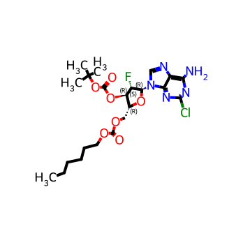 CCCCCCOC(=O)OC[C@H]1O[C@@H](n2cnc3c(N)nc(Cl)nc32)[C@@H](F)[C@@H]1OC(=O)OC(C)(C)C